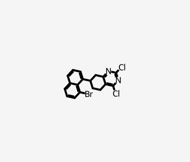 Clc1nc(Cl)c2c(n1)CC(c1cccc3cccc(Br)c13)CC2